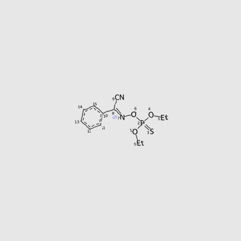 CCOP(=S)(OCC)O/N=C(\C#N)c1ccccc1